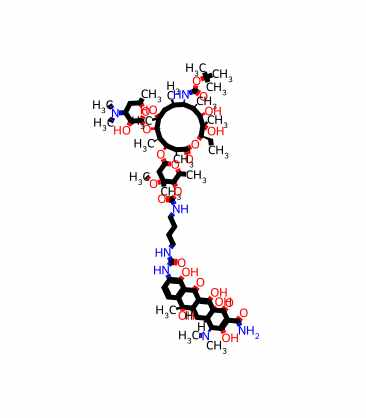 CC[C@H]1OC(=O)[C@H](C)[C@@H](OC2CC(C)(OC)C(OC(=O)NCCCCNC(=O)Nc3ccc4c(c3O)C(=O)C3=C(O)[C@]5(O)C(=O)C(C(N)=O)=C(O)[C@@H](N(C)C)[C@@H]5C[C@@H]3[C@]4(C)O)C(C)O2)[C@H](C)[C@@H](OC2OC(C)CC(N(C)C)C2O)[C@](C)(O)C[C@@H](C)[C@H](NC(=O)OC(C)(C)C)[C@H](C)[C@@H](O)[C@]1(C)O